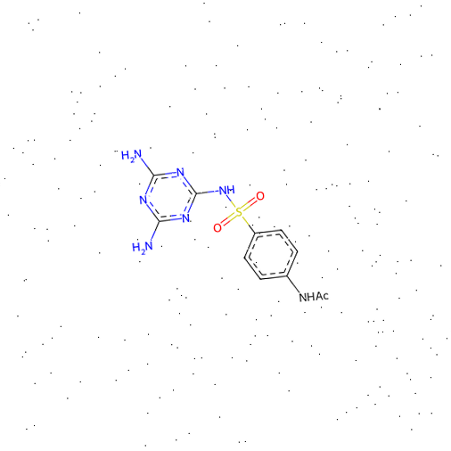 CC(=O)Nc1ccc(S(=O)(=O)Nc2nc(N)nc(N)n2)cc1